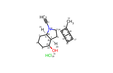 C#CN1CC[C@@H]2[C@H]1CCC[C@@H]2O.Cc1cc2ccc1-2.Cl